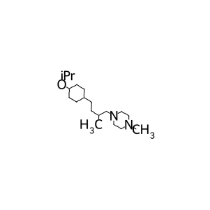 CC(CCC1CCC(OC(C)C)CC1)CN1CCN(C)CC1